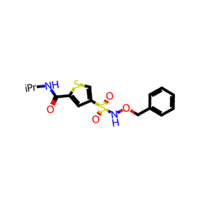 CC(C)NC(=O)c1cc(S(=O)(=O)NOCc2ccccc2)cs1